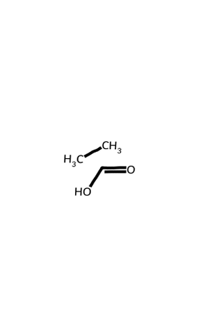 CC.O=CO